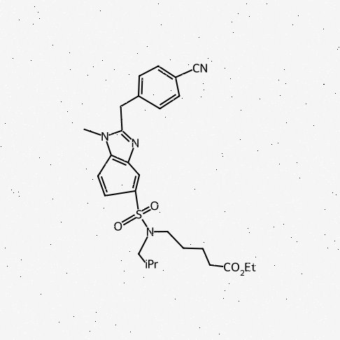 CCOC(=O)CCCCN(CC(C)C)S(=O)(=O)c1ccc2c(c1)nc(Cc1ccc(C#N)cc1)n2C